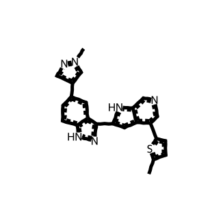 Cc1ccc(-c2cncc3[nH]c(-c4n[nH]c5ccc(-c6cnn(C)c6)cc45)cc23)s1